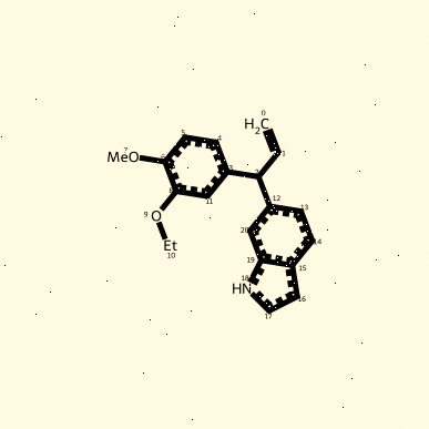 C=CC(c1ccc(OC)c(OCC)c1)c1ccc2cc[nH]c2c1